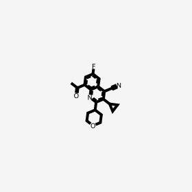 CC(=O)c1cc(F)cc2c(C#N)c(C3CC3)c(C3CCOCC3)nc12